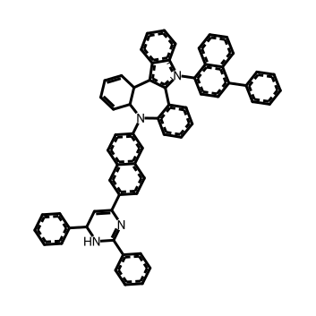 C1=CC2c3c(n(-c4ccc(-c5ccccc5)c5ccccc45)c4ccccc34)-c3ccccc3N(c3ccc4cc(C5=CC(c6ccccc6)NC(c6ccccc6)=N5)ccc4c3)C2C=C1